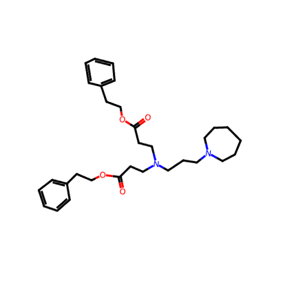 O=C(CCN(CCCN1CCCCCC1)CCC(=O)OCCc1ccccc1)OCCc1ccccc1